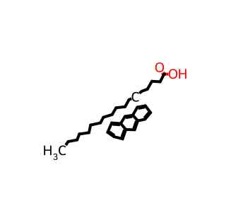 CCCCCCCCCCCCCCCCCC(=O)O.c1ccc2cc3ccccc3cc2c1